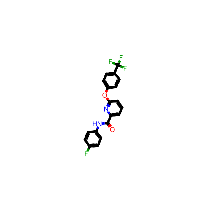 O=C(Nc1ccc(F)cc1)c1cccc(Oc2ccc(C(F)(F)F)cc2)n1